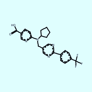 O=C(O)c1ccc(N(Cc2cnc(-c3ccc(C(F)(F)F)cc3)nc2)C2CCCC2)nc1